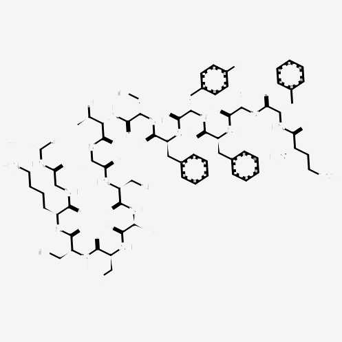 CC[C@H](C)[C@H](NC(=O)[C@H](CS)NC(=O)[C@H](C)NC(=O)[C@@H](NC(=O)[C@H](CC(C)C)NC(=O)[C@H](Cc1ccccc1)NC(=O)[C@H](Cc1ccc(O)cc1)NC(=O)[C@H](Cc1ccccc1)NC(=O)[C@H](C)NC(=O)[C@H](Cc1ccccc1)NC(=O)[C@@H](N)CCSC)[C@@H](C)O)C(=O)N[C@@H](CO)C(=O)N[C@@H](CC(C)C)C(=O)N[C@@H](CCCCN)C(=O)NCC(=O)N[C@H](C(=O)O)C(C)C